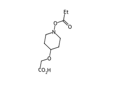 CCC(=O)ON1CCC(OCC(=O)O)CC1